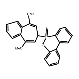 COC1=CC(P2(=O)Oc3ccccc3-c3ccccc32)C=C(OC)c2ccccc21